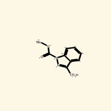 CC(C)(C)OC(=O)n1nc(C(=O)O)c2ccccc21